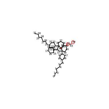 CCCCCCC[C@H]1CC[C@H](C2(CC(C3CCCCC3)C3([C@H]4CC[C@H](CCCCCCC)CC4)CCCCC3)CCC(OC=O)CC2)CC1